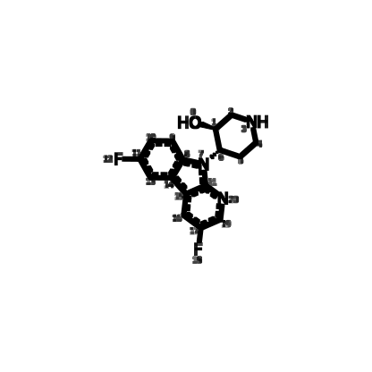 O[C@H]1CNCC[C@@H]1n1c2ccc(F)cc2c2cc(F)cnc21